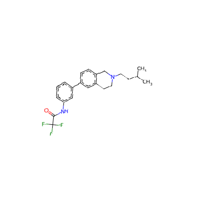 CC(C)CCN1CCc2cc(-c3cccc(NC(=O)C(F)(F)F)c3)ccc2C1